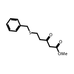 COC(=O)CC(=O)CCSCc1ccccc1